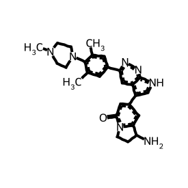 Cc1cc(-c2cc3c(-c4cc5n(c(=O)c4)CCC5N)c[nH]c3nn2)cc(C)c1N1CCN(C)CC1